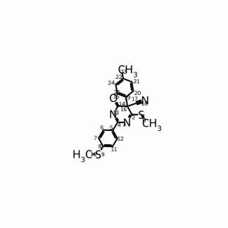 CSC1=NC(c2ccc(SC)cc2)=NC(=O)C1(C#N)c1ccc(C)cc1